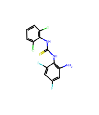 Nc1cc(F)cc(F)c1NC(=S)Nc1c(Cl)cccc1Cl